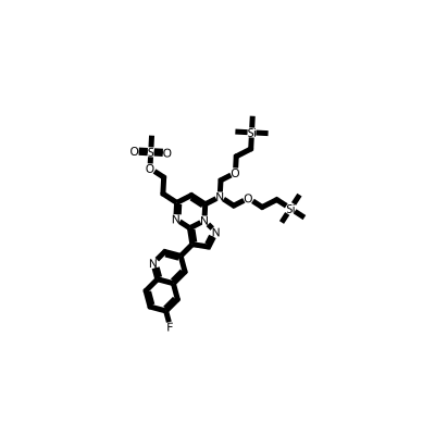 C[Si](C)(C)CCOCN(COCC[Si](C)(C)C)c1cc(CCOS(C)(=O)=O)nc2c(-c3cnc4ccc(F)cc4c3)cnn12